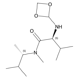 CC(C)[C@H](NC1OCO1)C(=O)N(C)[C@@H](C)C(C)C